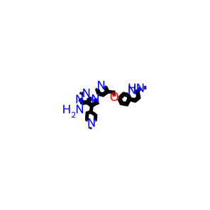 CNc1ccc2ccc(OCc3cncc(-n4cc(C5CCN(C)CC5)c5c(N)ncnc54)c3)cc2n1